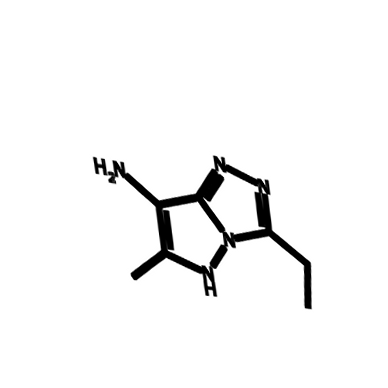 CCc1nnc2c(N)c(C)[nH]n12